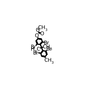 COC(=O)Oc1cc(Br)c(C(C)(C)c2c(Br)cc(C)cc2Br)c(Br)c1